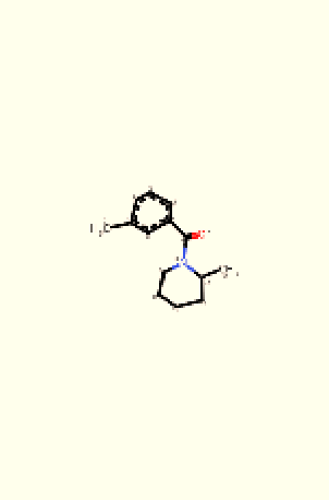 Cc1cc[c]c(C(=O)N2CCCCC2C)c1